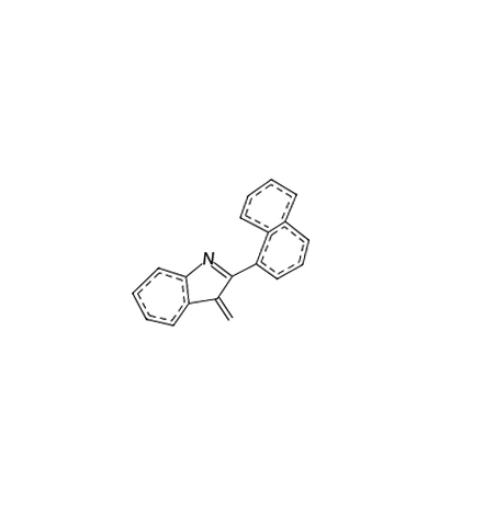 C=C1C(c2cccc3ccccc23)=Nc2ccccc21